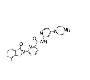 Cc1cccc2c1CN(c1cccc(C(=O)Nc3cc(N4CCNCC4)ccn3)n1)C2=O